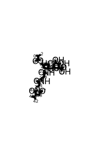 CC(C)C(=O)OCc1ccc(OC2OC(C(=O)O)C(O)C(O)C2O)c(NC(=O)CCNC(=O)CCN2C(=O)CC(C(C)C)C2=O)c1